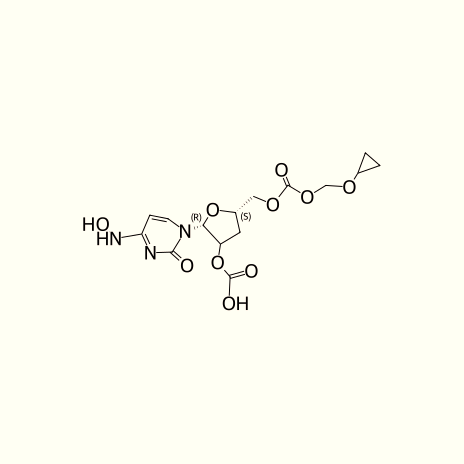 O=C(O)OC1C[C@@H](COC(=O)OCOC2CC2)O[C@H]1n1ccc(NO)nc1=O